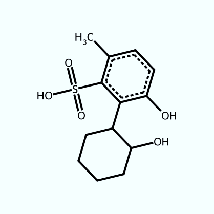 Cc1ccc(O)c(C2CCCCC2O)c1S(=O)(=O)O